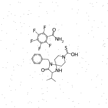 CC(C)C1NC2(CCN(C(O)=S)CC2)N(Cc2ccccc2)C1=O.NC(=O)c1c(F)c(F)c(F)c(F)c1F